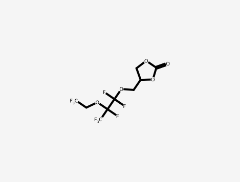 O=C1OCC(COC(F)(F)C(F)(OCC(F)(F)F)C(F)(F)F)O1